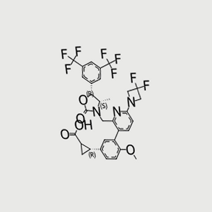 COc1ccc([C@@H]2CC2C(=O)O)cc1-c1ccc(N2CC(F)(F)C2)nc1CN1C(=O)O[C@H](c2cc(C(F)(F)F)cc(C(F)(F)F)c2)[C@@H]1C